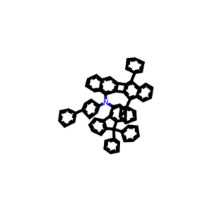 c1ccc(-c2ccc(N(c3cccc4c3-c3ccccc3C4(c3ccccc3)c3ccccc3)c3c4c(cc5ccccc35)-c3c-4c(-c4ccccc4)c4ccccc4c3-c3ccccc3)cc2)cc1